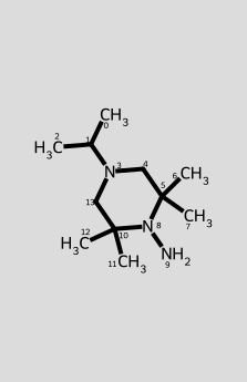 CC(C)N1CC(C)(C)N(N)C(C)(C)C1